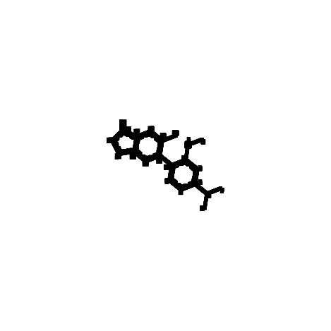 COc1cc(C(C)C)ccc1-c1cc2cc[nH]c2cc1C